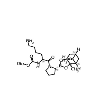 CC(C)(C)OC(=O)N[C@@H](CCCCN)C(=O)N1CCC[C@H]1B1OC2C[C@@H]3C[C@@H](C3(C)C)[C@]2(C)O1